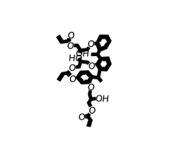 C=CC(=O)OCC(O)COc1ccccc1C(C)c1cccc(C(C)c2ccccc2OCC(O)COC(=O)C=C)c1OCC(O)COC(=O)C=C